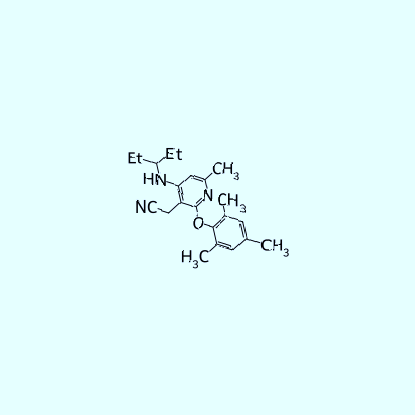 CCC(CC)Nc1cc(C)nc(Oc2c(C)cc(C)cc2C)c1CC#N